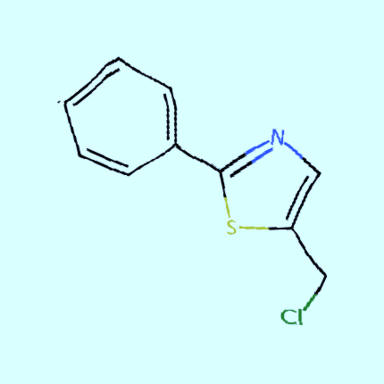 ClCc1cnc(-c2cc[c]cc2)s1